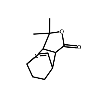 CC1(C)OC(=O)C2C3C=CC(CC3)CC21